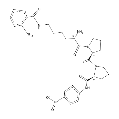 Nc1ccccc1C(=O)NCCCC[C@H](N)C(=O)N1CCC[C@H]1C(=O)N1CCC[C@H]1C(=O)Nc1ccc([N+](=O)[O-])cc1